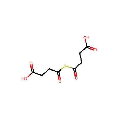 O=C(O)CCC(=O)SC(=O)CCC(=O)O